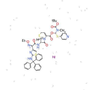 CCO/N=C(\C(=O)NC1C(=O)N2C(C(=O)OC(Sc3ccncc3)N(C)C(=O)OC(C)(C)C)=CCS[C@@H]12)c1csc(NC(c2ccccc2)(c2ccccc2)c2ccccc2)n1.I